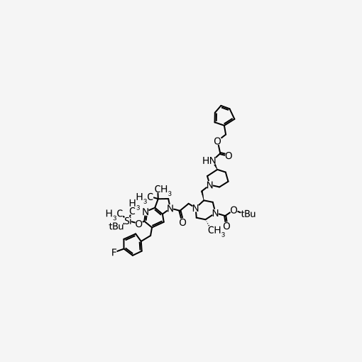 C[C@@H]1CN(CC(=O)N2CC(C)(C)c3nc(O[Si](C)(C)C(C)(C)C)c(Cc4ccc(F)cc4)cc32)[C@@H](CN2CCC[C@H](NC(=O)OCc3ccccc3)C2)CN1C(=O)OC(C)(C)C